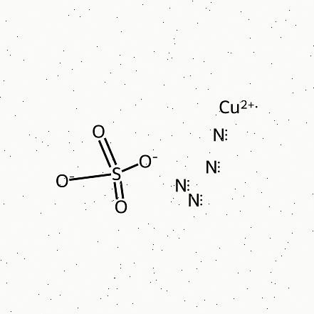 O=S(=O)([O-])[O-].[Cu+2].[N].[N].[N].[N]